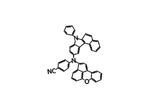 N#Cc1ccc(N(c2ccc3c(c2)c2c4ccccc4ccc2n3-c2ccccc2)c2ccc3c4c(cccc24)Oc2ccccc2-3)cc1